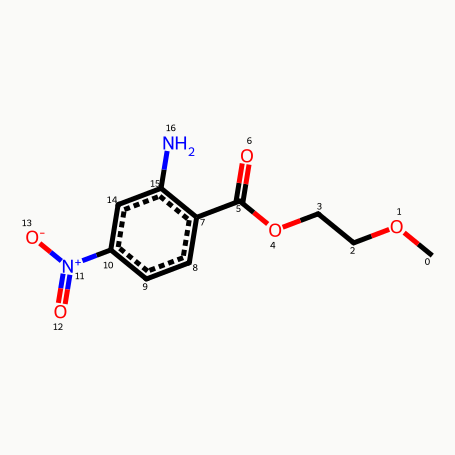 COCCOC(=O)c1ccc([N+](=O)[O-])cc1N